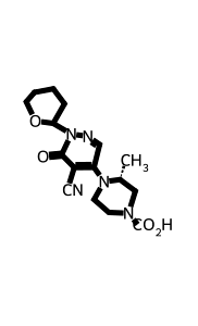 C[C@@H]1CN(C(=O)O)CCN1c1cnn(C2CCCCO2)c(=O)c1C#N